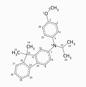 COc1ccc(N(c2ccc3c(c2)C(C)(C)c2ccccc2-3)C(C)C)cc1